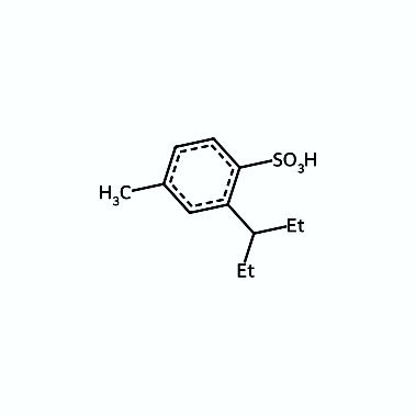 CCC(CC)c1cc(C)ccc1S(=O)(=O)O